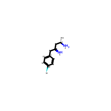 C[C@H](N)CC(=N)Cc1ccc(F)cc1